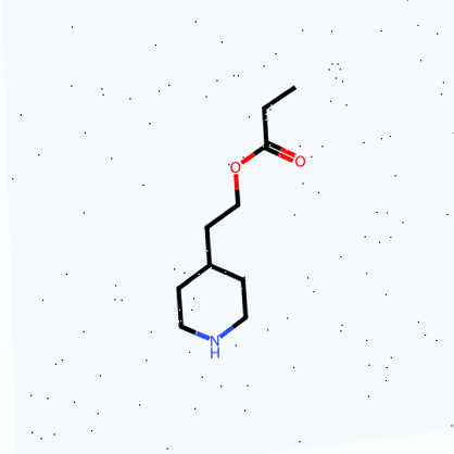 CCC(=O)OCCC1CCNCC1